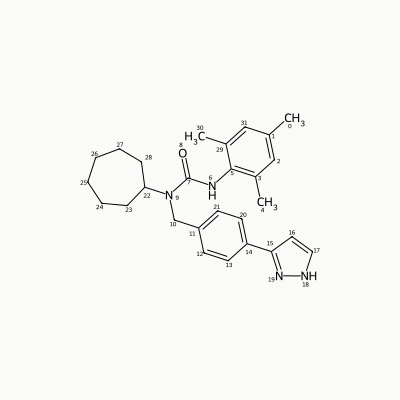 Cc1cc(C)c(NC(=O)N(Cc2ccc(-c3cc[nH]n3)cc2)C2CCCCCC2)c(C)c1